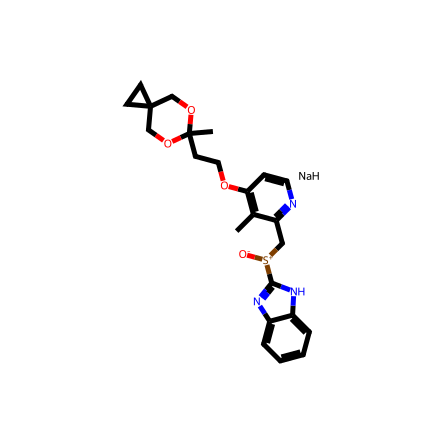 Cc1c(OCCC2(C)OCC3(CC3)CO2)ccnc1C[S+]([O-])c1nc2ccccc2[nH]1.[NaH]